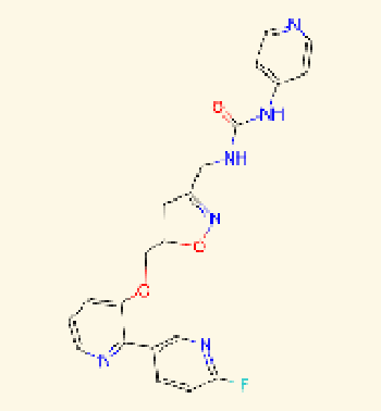 O=C(NCC1=NOC(COc2cccnc2-c2ccc(F)nc2)C1)Nc1ccncc1